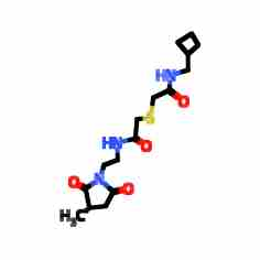 C[C@@H]1CC(=O)N(CCNC(=O)CSCC(=O)NCC2CCC2)C1=O